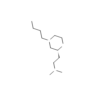 CCCCN1CCO[C@@H](CCN(C)C)C1